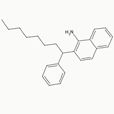 CCCCCCCC(c1ccccc1)c1ccc2ccccc2c1N